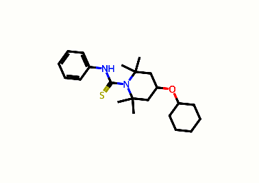 CC1(C)CC(OC2CCCCC2)CC(C)(C)N1C(=S)Nc1ccccc1